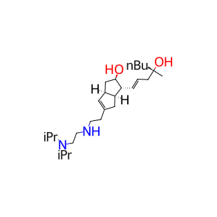 CCCC[C@](C)(O)C/C=C/[C@@H]1[C@H]2CC(CCNCCN(C(C)C)C(C)C)=C[C@H]2C[C@H]1O